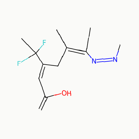 C=C(O)/C=C(\CC(C)=C(C)/N=N\C)C(C)(F)F